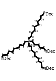 CCCCCCCCCCCCCCCCCCC[PH](CCCCCCCCCCCCCCC)(CCCCCCCCCCCCCCCCCCC)CCCCCCCCCCCCCCCCCCC